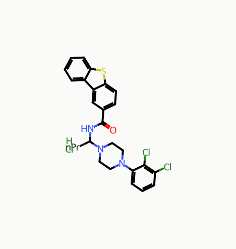 CCCC(NC(=O)c1ccc2sc3ccccc3c2c1)N1CCN(c2cccc(Cl)c2Cl)CC1.Cl